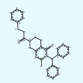 Cc1nc2c(c(=O)n1C(c1ccccc1)c1ccccc1)CCN(C(=O)CSc1ccccc1)C2